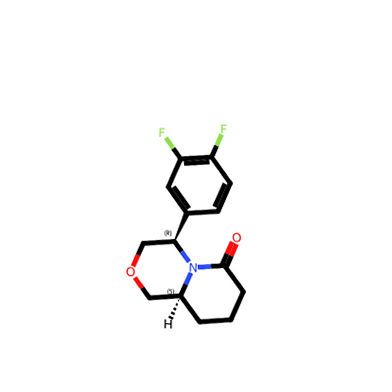 O=C1CCC[C@H]2COC[C@@H](c3ccc(F)c(F)c3)N12